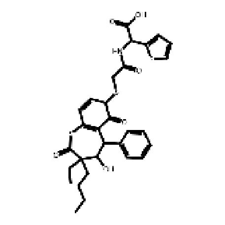 CCCCC1(CC)C(=O)SC2=C(C(=O)C(SCC(=O)NC(C(=O)O)c3cccs3)C=C2)C(c2ccccc2)C1O